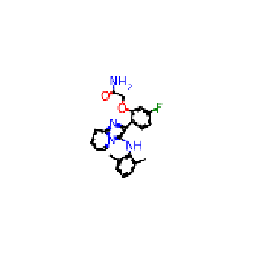 Cc1cccc(C)c1Nc1c(-c2ccc(F)cc2OCC(N)=O)nc2ccccn12